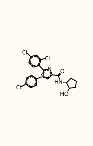 O=C(N[C@@H]1CCC[C@H]1O)c1cn(-c2ccc(Cl)cc2)c(-c2ccc(Cl)cc2Cl)n1